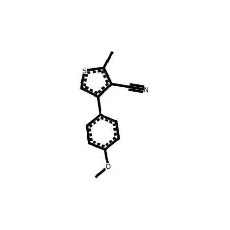 COc1ccc(-c2csc(C)c2C#N)cc1